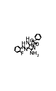 N=C1/C(=N\Nc2ccccc2F)C(N)=NN1S(=O)(=O)c1ccccc1